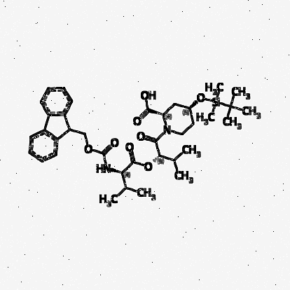 CC(C)[C@H](OC(=O)[C@H](NC(=O)OCC1c2ccccc2-c2ccccc21)C(C)C)C(=O)N1CC[C@H](O[Si](C)(C)C(C)(C)C)C[C@@H]1C(=O)O